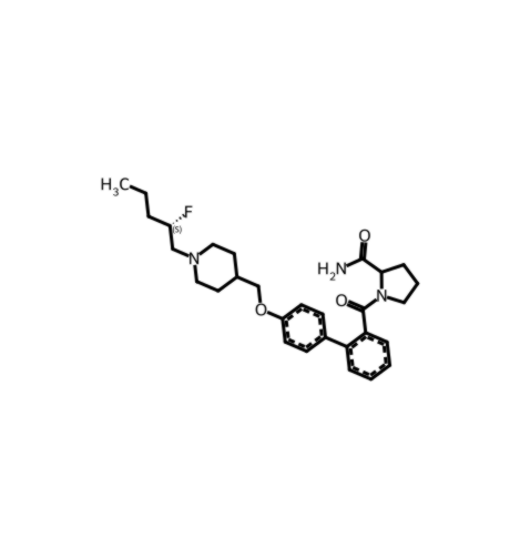 CCC[C@H](F)CN1CCC(COc2ccc(-c3ccccc3C(=O)N3CCCC3C(N)=O)cc2)CC1